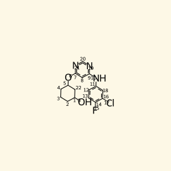 OC1CCCC(Oc2cc(Nc3ccc(F)c(Cl)c3)ncn2)C1